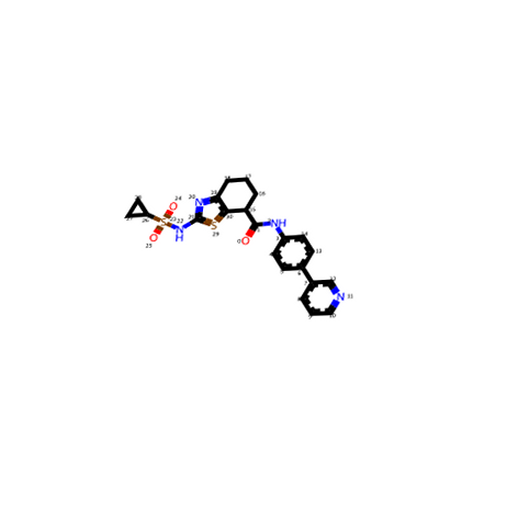 O=C(Nc1ccc(-c2cccnc2)cc1)C1CCCc2nc(NS(=O)(=O)C3CC3)sc21